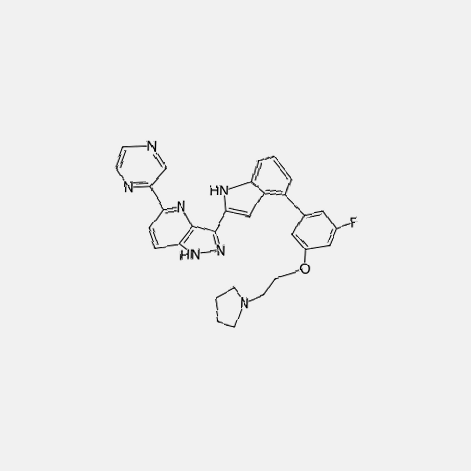 Fc1cc(OCCN2CCCC2)cc(-c2cccc3[nH]c(-c4n[nH]c5ccc(-c6cnccn6)nc45)cc23)c1